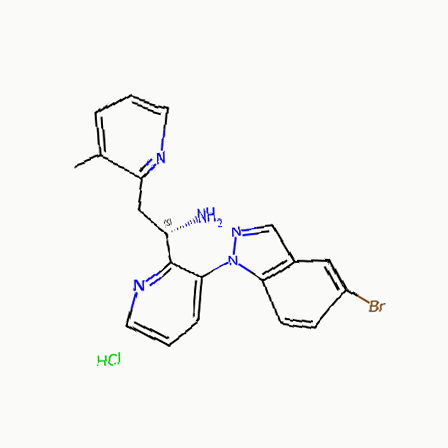 Cc1cccnc1C[C@H](N)c1ncccc1-n1ncc2cc(Br)ccc21.Cl